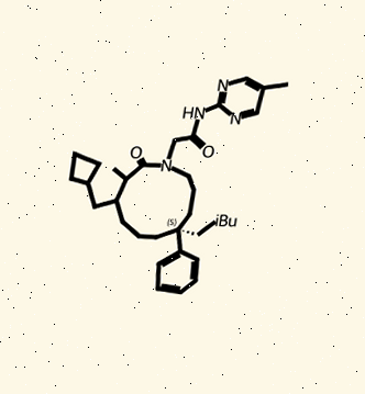 CCC(C)C[C@]1(c2ccccc2)CCCC(CC2CCC2)C(C)C(=O)N(CC(=O)Nc2ncc(C)cn2)CCC1